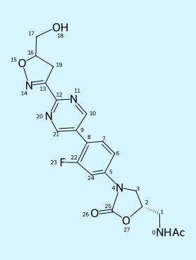 CC(=O)NC[C@H]1CN(c2ccc(-c3cnc(C4=NOC(CO)C4)nc3)c(F)c2)C(=O)O1